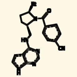 CC[C@@H]1CC[C@H](CNc2ncnc3[nH]ccc23)N1C(=O)c1ccc(C#N)cc1